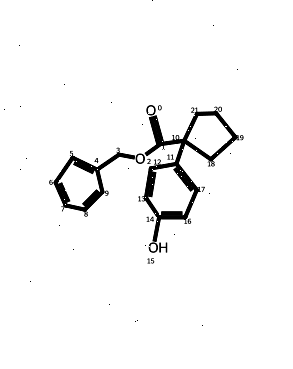 O=C(OCc1ccccc1)C1(c2ccc(O)cc2)CCCC1